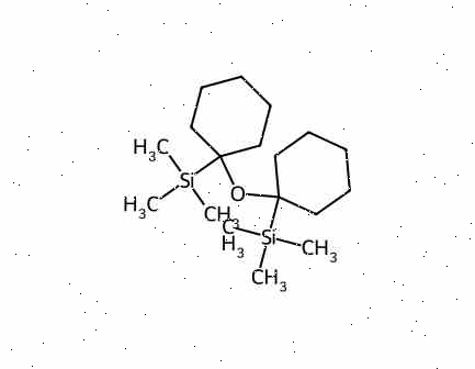 C[Si](C)(C)C1(OC2([Si](C)(C)C)CCCCC2)CCCCC1